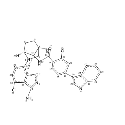 Nc1noc2c(N3C[C@@H]4CC[C@H]3[C@@H]4NC(=O)c3ccc(-n4cnc5ccccc54)cc3Cl)ncc(Cl)c12